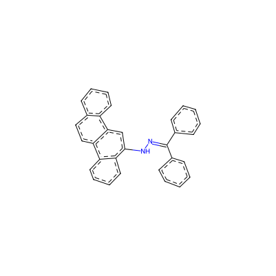 c1ccc(C(=NNc2cc3c4ccccc4ccc3c3ccccc23)c2ccccc2)cc1